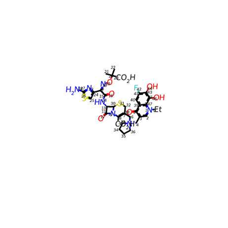 CCn1cc(C[N+]2(CC3=C(C(=O)O)N4C(=O)[C@@H](NC(=O)/C(=N\OC(C)(C)C(=O)O)c5csc(N)n5)C4SC3)CCCC2)c(=O)c2cc(F)c(O)c(O)c21